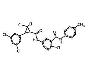 Cc1ccc(NC(=O)c2cc(NC(=O)C3C(c4cc(Cl)cc(Cl)c4)C3(Cl)Cl)ccc2Cl)cc1